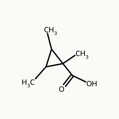 CC1C(C)C1(C)C(=O)O